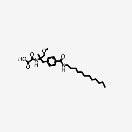 CCCCCCCCCCCCNC(=O)c1ccc(CC(C)(COC)NC(=O)C(=O)O)cc1